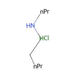 CCCCCNCCC.Cl